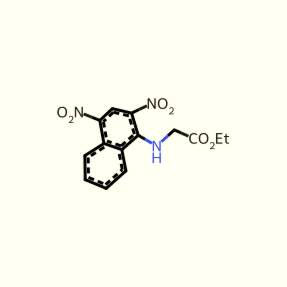 CCOC(=O)CNc1c([N+](=O)[O-])cc([N+](=O)[O-])c2ccccc12